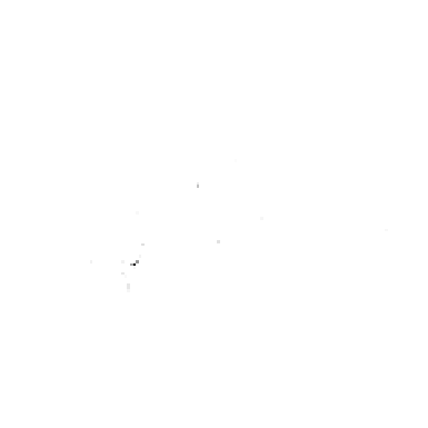 CC(C)(C)OC(=O)N[C@H]1CC[C@H](CS(=O)(=O)c2cccc(C(F)(F)F)c2)CC1